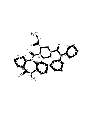 COC(=O)[C@@H]1CN(C(=O)N(c2ccccc2)c2ccccc2)CCN1C(=O)N1c2ccccc2C(=O)N(C)c2ccccc21